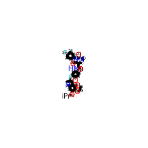 CC(C)Oc1cc2nccc(Oc3ccc(NC(=O)c4cn(C)c(=O)n(-c5ccc(F)cc5)c4=O)cc3F)c2c2c1OCCO2